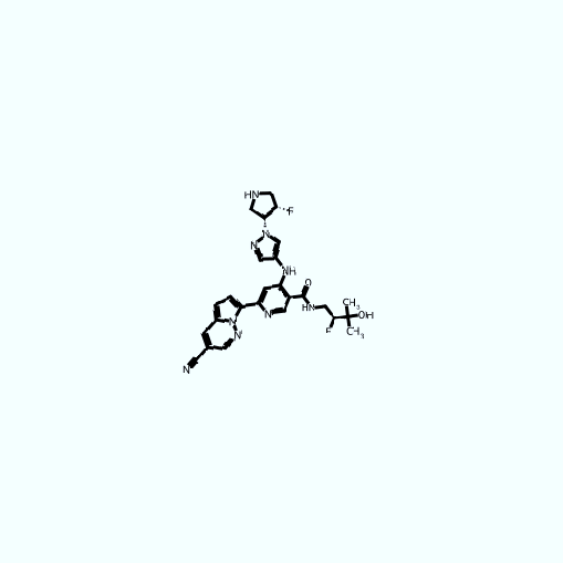 CC(C)(O)C(F)CNC(=O)c1cnc(-c2ccc3cc(C#N)cnn23)cc1Nc1cnn([C@@H]2CNC[C@@H]2F)c1